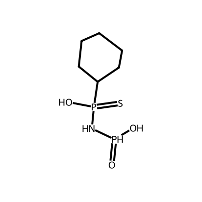 O=[PH](O)NP(O)(=S)C1CCCCC1